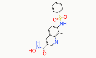 Cc1c(NS(=O)(=O)c2ccccc2)ccc2cc(C(=O)NO)cnc12